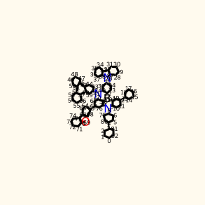 c1ccc(-c2ccc(N3c4ccc(-c5ccccc5)cc4B4c5ccc(-n6c7ccccc7c7ccccc76)cc5N(c5ccc6c7ccccc7c7ccccc7c6c5)c5cc(-c6ccc7c(c6)oc6ccccc67)cc3c54)cc2)cc1